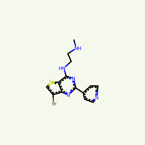 CNCCNc1nc(-c2ccncc2)nc2c(Br)csc12